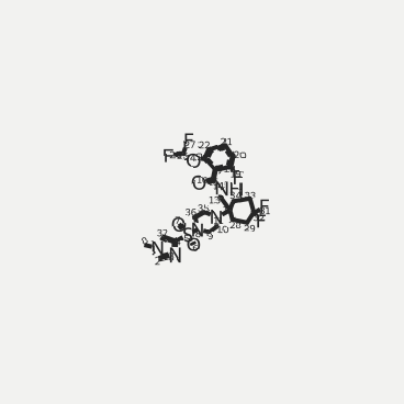 Cn1cnc(S(=O)(=O)N2CCN(C3(CNC(=O)c4c(F)cccc4OC(F)F)CCC(F)(F)CC3)CC2)c1